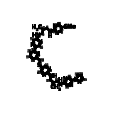 CSc1cnc(NCC(C)CNc2cnc(-c3cccc(CSc4cnc(NCC(C)CNc5cnc(-n6cccn6)cn5)nc4)n3)cn2)nc1